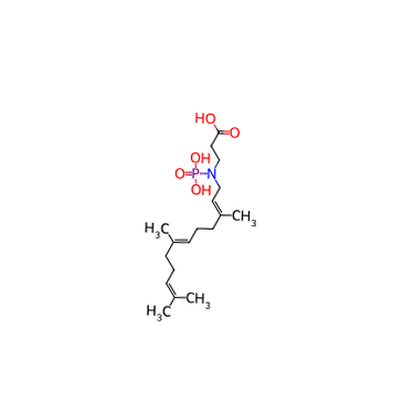 CC(C)=CCCC(C)=CCCC(C)=CCN(CCC(=O)O)P(=O)(O)O